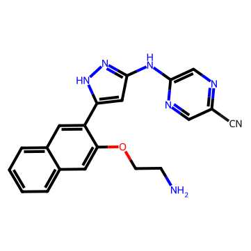 N#Cc1cnc(Nc2cc(-c3cc4ccccc4cc3OCCN)[nH]n2)cn1